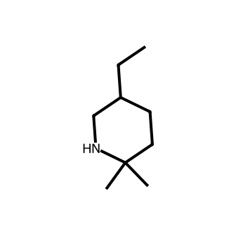 CCC1CCC(C)(C)NC1